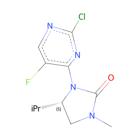 CC(C)[C@H]1CN(C)C(=O)N1c1nc(Cl)ncc1F